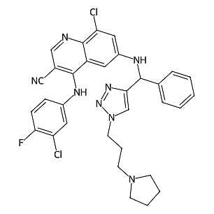 N#Cc1cnc2c(Cl)cc(NC(c3ccccc3)c3cn(CCCN4CCCC4)nn3)cc2c1Nc1ccc(F)c(Cl)c1